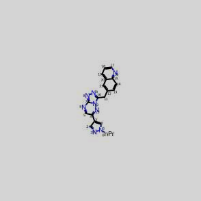 CCCn1cc(-c2cnc3nnc(Cc4ccc5ncccc5c4)n3n2)cn1